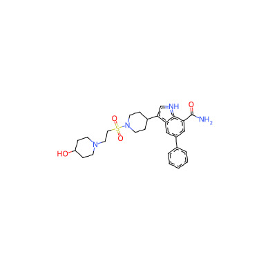 NC(=O)c1cc(-c2ccccc2)cc2c(C3CCN(S(=O)(=O)CCN4CCC(O)CC4)CC3)c[nH]c12